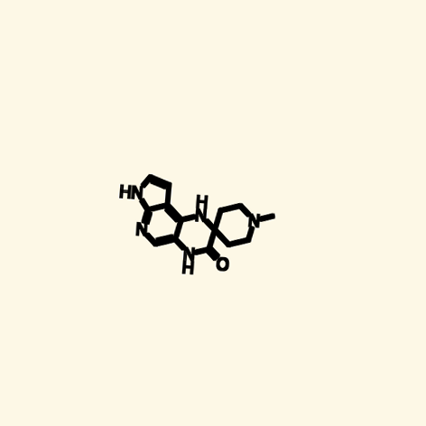 CN1CCC2(CC1)Nc1c(cnc3[nH]ccc13)NC2=O